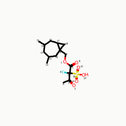 CC(=O)C(F)(C(=O)OCC12CC(C)CC(C)CC1C2)S(=O)(=O)O